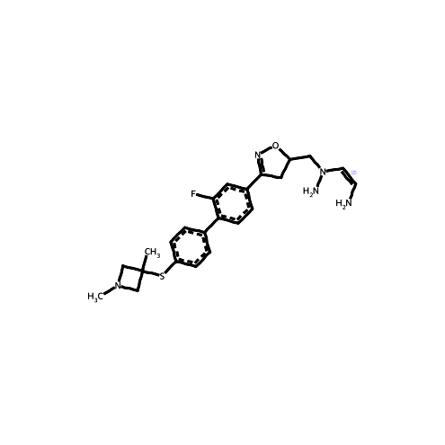 CN1CC(C)(Sc2ccc(-c3ccc(C4=NOC(CN(N)/C=C\N)C4)cc3F)cc2)C1